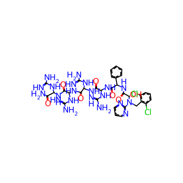 N=C(N)NC(NC(=O)C(NC(=N)N)NC(=O)C(NC(=N)N)NC(=O)C(NC(=N)N)NC(=O)C(NC(=O)C(O)N(Cc1c(Cl)cccc1Cl)c1ncccn1)c1ccccc1)C(N)=O